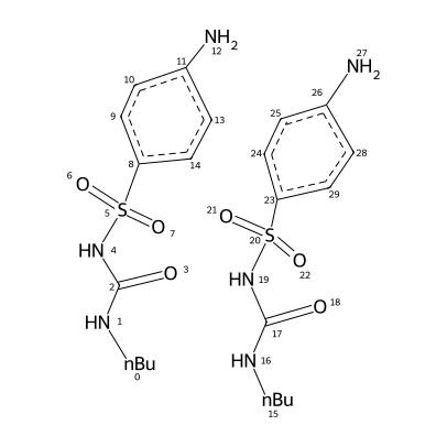 CCCCNC(=O)NS(=O)(=O)c1ccc(N)cc1.CCCCNC(=O)NS(=O)(=O)c1ccc(N)cc1